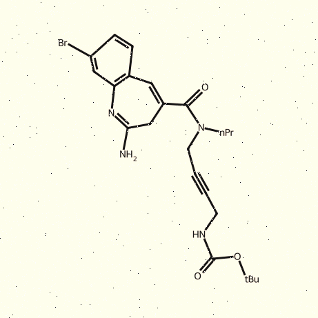 CCCN(CC#CCNC(=O)OC(C)(C)C)C(=O)C1=Cc2ccc(Br)cc2N=C(N)C1